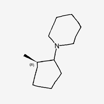 C[C@@H]1CCCC1N1CCCCC1